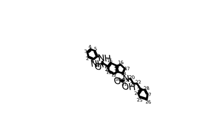 Nc1ccccc1NC(=O)c1ccc2c(c1)CCC2N(CCCc1ccccc1)C(=O)O